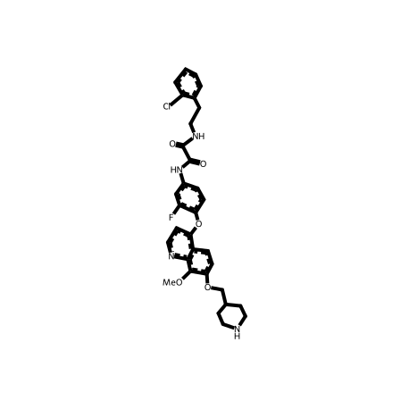 COc1c(OCC2CCNCC2)ccc2c(Oc3ccc(NC(=O)C(=O)NCCc4ccccc4Cl)cc3F)ccnc12